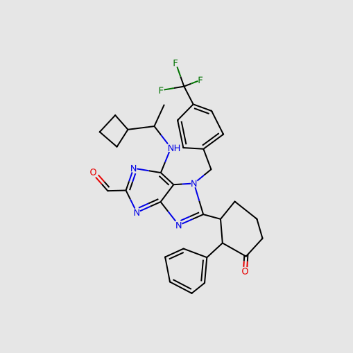 CC(Nc1nc(C=O)nc2nc(C3CCCC(=O)C3c3ccccc3)n(Cc3ccc(C(F)(F)F)cc3)c12)C1CCC1